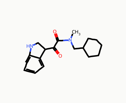 CN(CC1CCCCC1)C(=O)C(=O)C1CNc2ccccc21